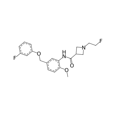 COc1ccc(COc2cccc(F)c2)cc1NC(=O)C1CN(CCF)C1